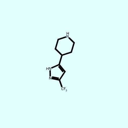 FC(F)(F)c1cc(C2CCNCC2)[nH]n1